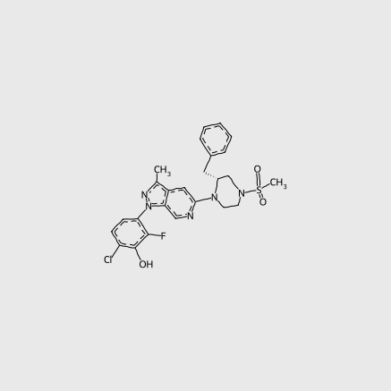 Cc1nn(-c2ccc(Cl)c(O)c2F)c2cnc(N3CCN(S(C)(=O)=O)C[C@H]3Cc3ccccc3)cc12